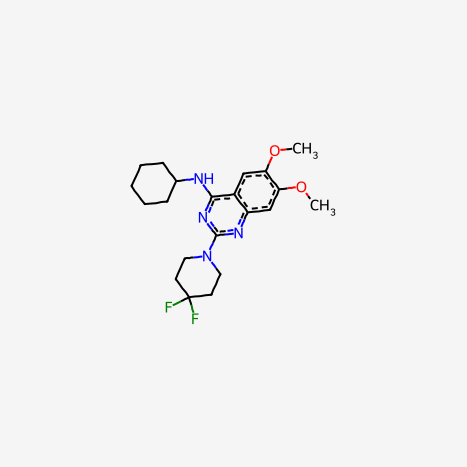 COc1cc2nc(N3CCC(F)(F)CC3)nc(NC3CCCCC3)c2cc1OC